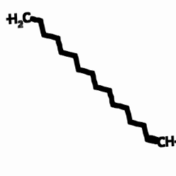 [CH]=CCCCCCCCCCCCCC[CH2]